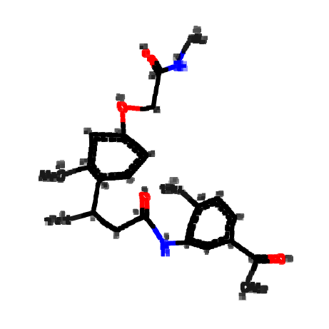 CCCCCC(CC(=O)Nc1cc(C(=O)OC)ccc1C(C)(C)C)c1ccc(OCC(=O)NCCCC)cc1OC